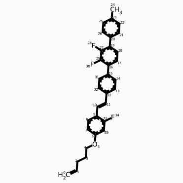 C=CCCCOc1ccc(/C=C/c2ccc(-c3ccc(-c4ccc(C)cc4)c(F)c3F)cc2)c(F)c1